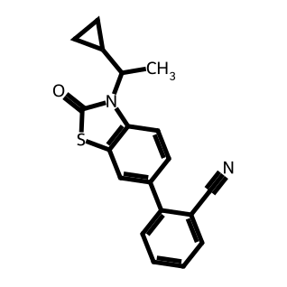 CC(C1CC1)n1c(=O)sc2cc(-c3ccccc3C#N)ccc21